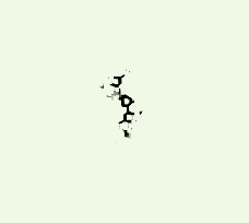 CNc1ncc2cc(-c3cccc(NS(=O)(=O)c4cc(C#N)cnc4OC)c3F)c(NC)nc2n1